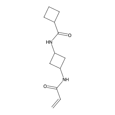 C=CC(=O)NC1CC(NC(=O)C2CCC2)C1